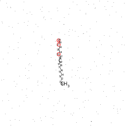 CCCCCCCCCCCCCOCCCOC=O